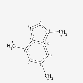 Cc1cc(C)c2ccc(C)n2c1